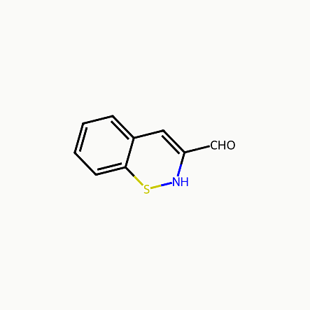 O=CC1=Cc2ccccc2SN1